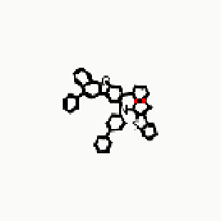 c1ccc(-c2ccc(N(c3cc4c(cc3-c3ccccc3)oc3c5ccccc5c(-c5ccccc5)cc43)c3cccc4c3sc3ccccc34)cc2)cc1